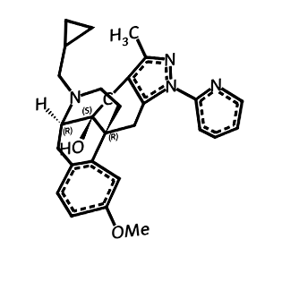 COc1ccc2c(c1)[C@]13CCN(CC4CC4)[C@H](C2)[C@]1(O)Cc1c(C)nn(-c2ccccn2)c1C3